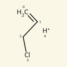 C=CCCl.[H+]